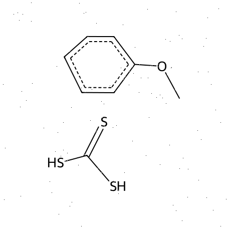 COc1ccccc1.S=C(S)S